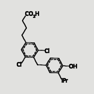 CC(C)c1cc(Cc2c(Cl)cc(CCCC(=O)O)cc2Cl)ccc1O